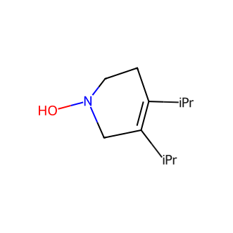 CC(C)C1=C(C(C)C)CN(O)CC1